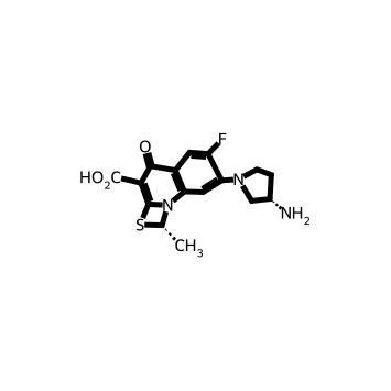 C[C@@H]1Sc2c(C(=O)O)c(=O)c3cc(F)c(N4CC[C@H](N)C4)cc3n21